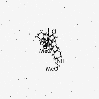 COCCNC1CCc2ccc(Nc3ncc(Cl)c(N[C@@H]4CCCC[C@H]4NS(C)(=O)=O)n3)c(OC)c2CC1